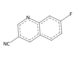 N#Cc1cnc2cc(F)ccc2c1